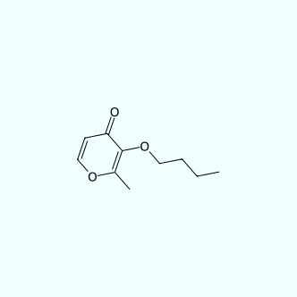 CCCCOc1c(C)occc1=O